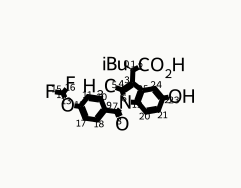 CCC(C)[C@H](C(=O)O)c1c(C)n(C(=O)c2ccc(OC(F)F)cc2)c2ccc(O)cc12